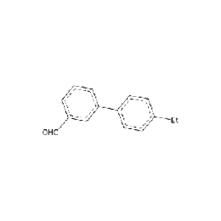 CCc1ccc(-c2cccc(C=O)c2)cc1